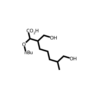 CCCCOC(C(=O)O)C(CO)CCCC(C)CO